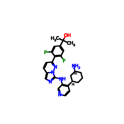 CC(C)(O)c1cc(F)c(-c2ccc3cnc(Nc4cnccc4[C@@H]4CCC[C@H](N)C4)n3n2)c(F)c1